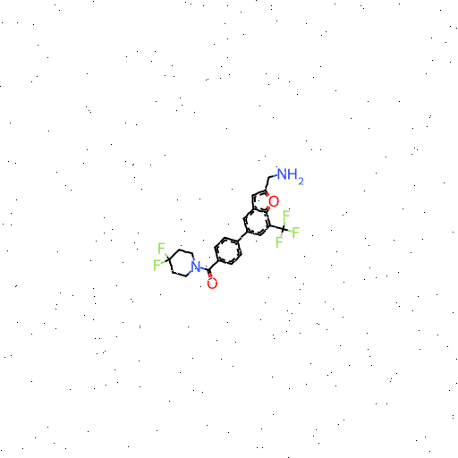 NCc1cc2cc(-c3ccc(C(=O)N4CCC(F)(F)CC4)cc3)cc(C(F)(F)F)c2o1